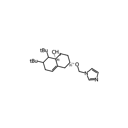 CC(C)(C)C1CC=C2C[C@@H](OCn3ccnc3)CC[C@]2(C)C1C(C)(C)C